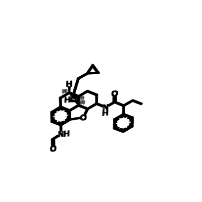 CCC(C(=O)NC1CC[C@@]2(O)[C@H]3Cc4ccc(NC=O)c5c4[C@@]2(CCN3CC2CC2)C1O5)c1ccccc1